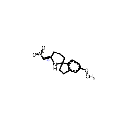 COc1ccc2c(c1)CCC21CCC/C(=C\[N+](=O)[O-])N1